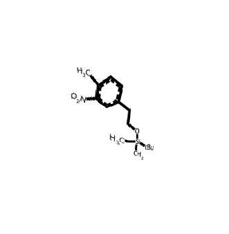 Cc1ccc(CCO[Si](C)(C)C(C)(C)C)cc1[N+](=O)[O-]